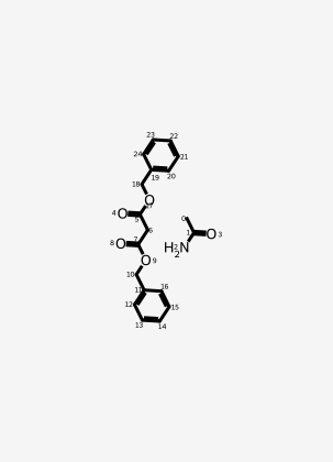 CC(N)=O.O=C(CC(=O)OCc1ccccc1)OCc1ccccc1